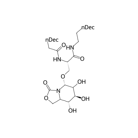 CCCCCCCCCCCCNC(=O)[C@H](CO[C@@H]1C(O)[C@@H](O)[C@H](O)C2COC(=O)N21)NC(=O)CCCCCCCCCCC